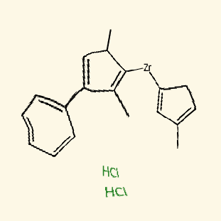 CC1=CC[C]([Zr][C]2=C(C)C(c3ccccc3)=CC2C)=C1.Cl.Cl